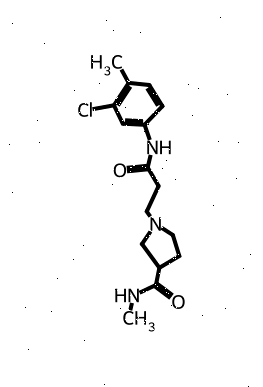 CNC(=O)C1CCN(CCC(=O)Nc2ccc(C)c(Cl)c2)C1